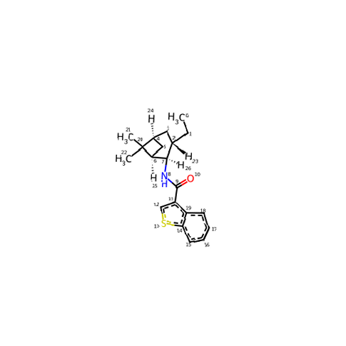 CC[C@H]1C[C@H]2C[C@@H]([C@@H]1NC(=O)c1csc3ccccc13)C2(C)C